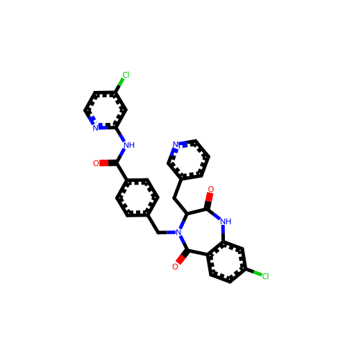 O=C(Nc1cc(Cl)ccn1)c1ccc(CN2C(=O)c3ccc(Cl)cc3NC(=O)C2Cc2cccnc2)cc1